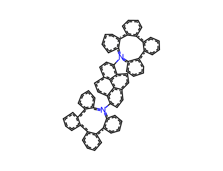 c1ccc2c(c1)c1ccccc1c1ccccc1n(-c1ccc3ccc4c(-n5c6ccccc6c6ccccc6c6ccccc6c6ccccc65)ccc5ccc1c3c54)c1ccccc21